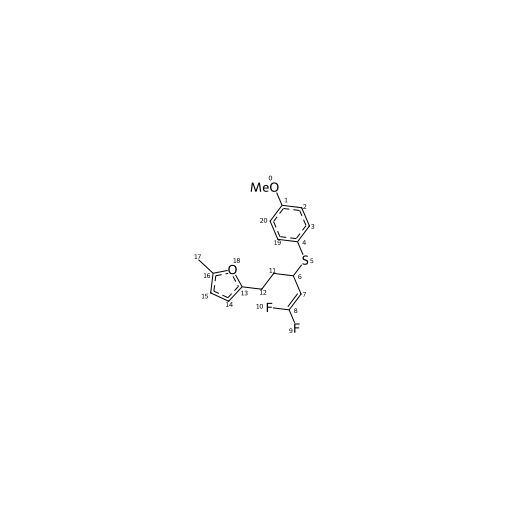 COc1ccc(SC(C=C(F)F)CCc2ccc(C)o2)cc1